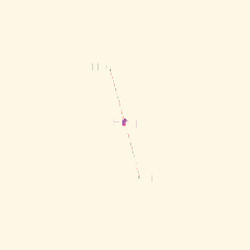 CCCCCCCCCCCCCCCCCCCCCCCCCCCCPPCCCCCCCCCCCCCCCCCCCCCCCCCCCC